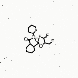 O=C(OC1CCCCC1)C1CCCCC1C(=O)OC(CF)C(F)F